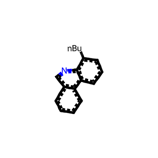 CCCCc1cccc2c1ncc1ccccc12